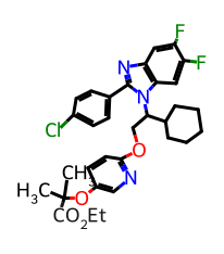 CCOC(=O)C(C)(C)Oc1ccc(OCC(C2CCCCC2)n2c(-c3ccc(Cl)cc3)nc3cc(F)c(F)cc32)nc1